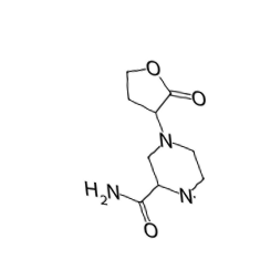 NC(=O)C1CN(C2CCOC2=O)CC[N]1